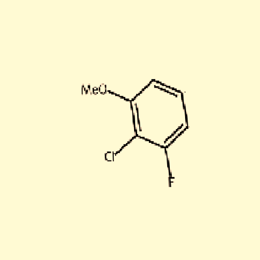 COc1c[c]cc(F)c1Cl